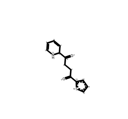 O=C(CCC(=O)C1C=CC=CN1)c1cccs1